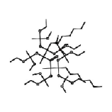 CCCCCCCC(OC(C)(OC)OCC)(OC(C)(OC)OCC)C(C)(OC(C)(OC)OCC)C(=O)C(C)(OC(C)(OC)OCC)C(CCCCCCC)(OC(C)(OC)OCC)OC(C)(OC)OCC